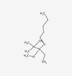 CCCCCO[Si](CC)(OC)C(C)(C)C